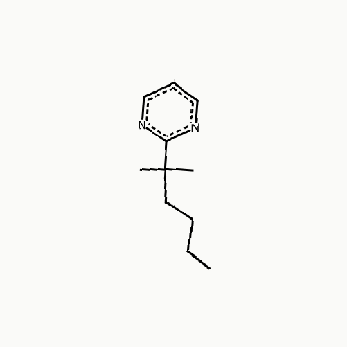 CCCCC(C)(C)c1nc[c]cn1